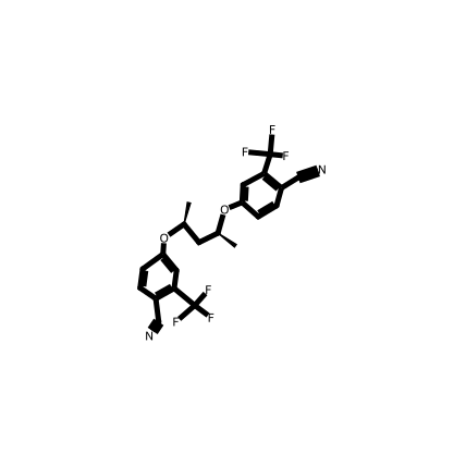 C[C@@H](C[C@H](C)Oc1ccc(C#N)c(C(F)(F)F)c1)Oc1ccc(C#N)c(C(F)(F)F)c1